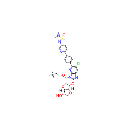 CN(C)S(C)(=O)=Nc1ccc(-c2ccc(-c3nc4c(cc3Cl)nc(O[C@@H]3CO[C@H]5[C@@H]3OC[C@H]5O)n4COCC[Si](C)(C)C)cc2)nc1